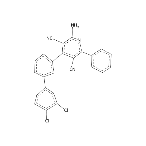 N#Cc1c(N)nc(-c2ccccc2)c(C#N)c1-c1cccc(-c2ccc(Cl)c(Cl)c2)c1